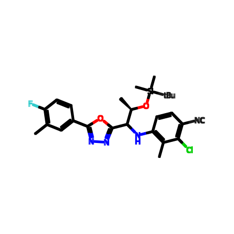 [C-]#[N+]c1ccc(NC(c2nnc(-c3ccc(F)c(C)c3)o2)[C@@H](C)O[Si](C)(C)C(C)(C)C)c(C)c1Cl